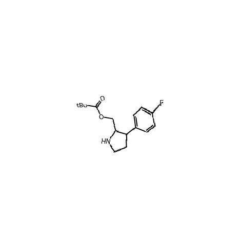 CC(C)(C)C(=O)OCC1NCCC1c1ccc(F)cc1